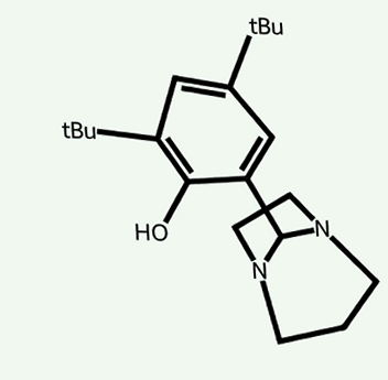 CC(C)(C)c1cc(C2N3CCCN2CC3)c(O)c(C(C)(C)C)c1